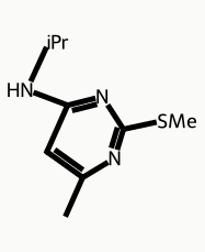 CSc1nc(C)cc(NC(C)C)n1